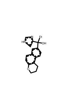 CCC(O)(c1ccc2c3c(ccc2c1)OCCC3)c1c[nH]cn1